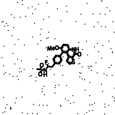 COc1ccc2[nH]c(=O)c3sccc3c2c1-c1ccc(CC(F)NS(C)(=O)=O)cc1